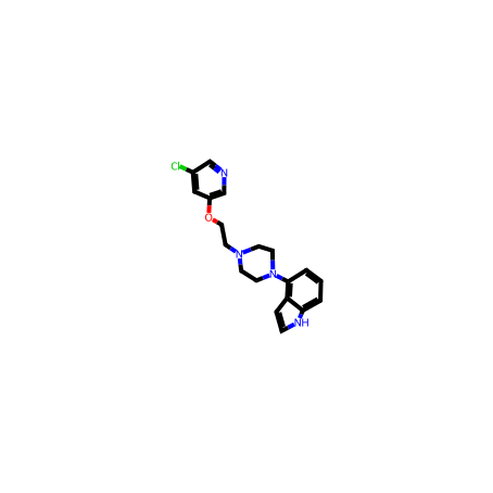 Clc1cncc(OCCN2CCN(c3cccc4[nH]ccc34)CC2)c1